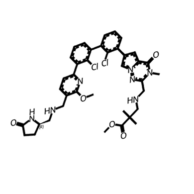 COC(=O)C(C)(C)CNCc1nn2cc(-c3cccc(-c4cccc(-c5ccc(CNC[C@H]6CCC(=O)N6)c(OC)n5)c4Cl)c3Cl)cc2c(=O)n1C